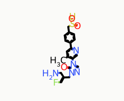 Cc1cc(-c2ccc(C[SH](=O)=O)cc2)ncc1-n1cnn(C/C(=C/F)CN)c1=O